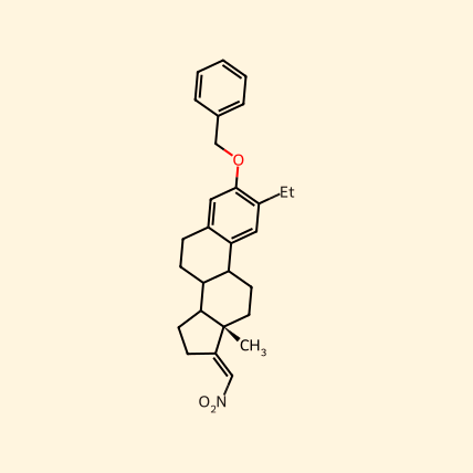 CCc1cc2c(cc1OCc1ccccc1)CCC1C2CC[C@]2(C)/C(=C/[N+](=O)[O-])CCC12